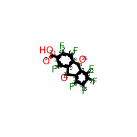 O=C(O)c1c(F)c(F)c2c(c1F)C(=O)c1c(F)c(F)c(F)c(F)c1C2=O